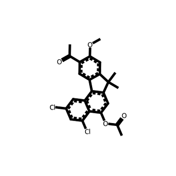 COc1cc2c(cc1C(C)=O)-c1c(cc(OC(C)=O)c3c(Cl)cc(Cl)cc13)C2(C)C